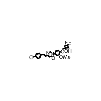 COc1cc(-n2cnc(C=Cc3ccc(Cl)cc3)cc2=O)ccc1OCC1(O)CC(F)(F)C1